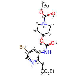 CCOC(=O)Cc1ncc(Br)cc1NC(=O)OC1CCN(C(=O)OC(C)(C)C)CC1